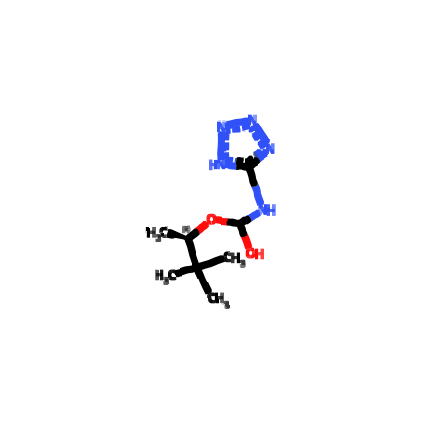 C[C@@H](OC(O)Nc1nnn[nH]1)C(C)(C)C